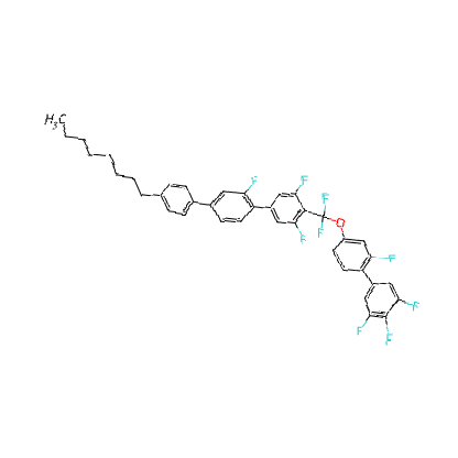 CCCCCCCCc1ccc(-c2ccc(-c3cc(F)c(C(F)(F)Oc4ccc(-c5cc(F)c(F)c(F)c5)c(F)c4)c(F)c3)c(F)c2)cc1